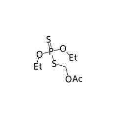 CCOP(=S)(OCC)SCOC(C)=O